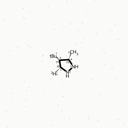 [2H][C@H]1NN[C@@H](C)[C@H]1C(C)(C)C